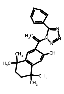 C=C(c1cc2c(cc1C)C(C)(C)CCC2(C)C)n1nnnc1-c1ccccc1